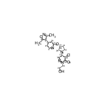 Cc1noc(C)c1-c1ccnc(O[C@@H]2CCN(c3cnn(CCO)c(=O)c3Cl)C2)c1